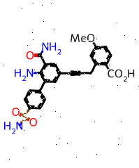 COc1ccc(C(=O)O)c(CC#Cc2cc(C(N)=O)c(N)c(-c3ccc(S(N)(=O)=O)cc3)c2)c1